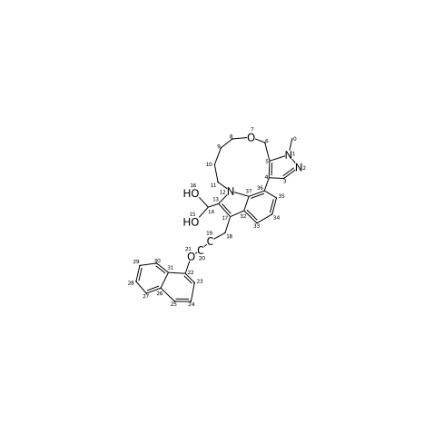 Cn1ncc2c1COCCCCn1c(C(O)O)c(CCCOc3cccc4ccccc34)c3cccc-2c31